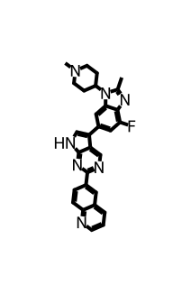 Cc1nc2c(F)cc(-c3c[nH]c4nc(-c5ccc6ncccc6c5)ncc34)cc2n1C1CCN(C)CC1